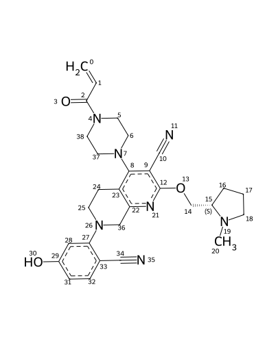 C=CC(=O)N1CCN(c2c(C#N)c(OC[C@@H]3CCCN3C)nc3c2CCN(c2cc(O)ccc2C#N)C3)CC1